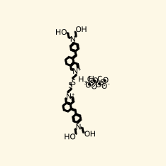 CS(=O)(=O)[O-].CS(=O)(=O)[O-].OCCN(CCO)c1ccc(C=C2CCCc3c[n+](CCSSCC[n+]4ccc5c(c4)CCCC5=Cc4ccc(N(CCO)CCO)cc4)ccc32)cc1